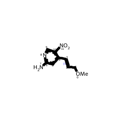 COC/C=C/c1cc(N)ncc1[N+](=O)[O-]